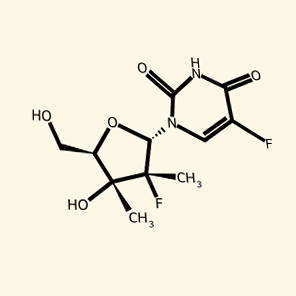 C[C@]1(F)[C@@H](n2cc(F)c(=O)[nH]c2=O)O[C@H](CO)[C@@]1(C)O